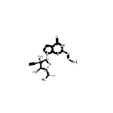 C#C[C@@]1(O)C(O)[C@@H]([C@H](C)O)O[C@H]1n1ccc2c(=O)[nH]c(N=NN)nc21